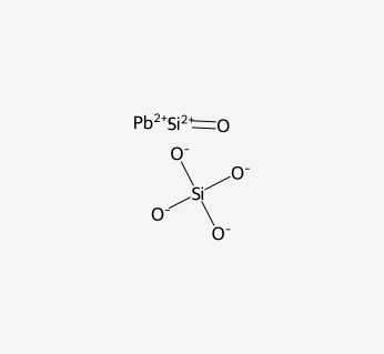 O=[Si+2].[O-][Si]([O-])([O-])[O-].[Pb+2]